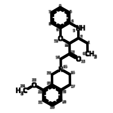 CCC1Nc2ccccc2OC1C(=O)CN1CCc2cccc(OC)c2C1